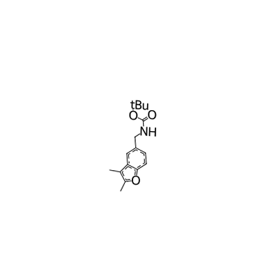 Cc1oc2ccc(CNC(=O)OC(C)(C)C)cc2c1C